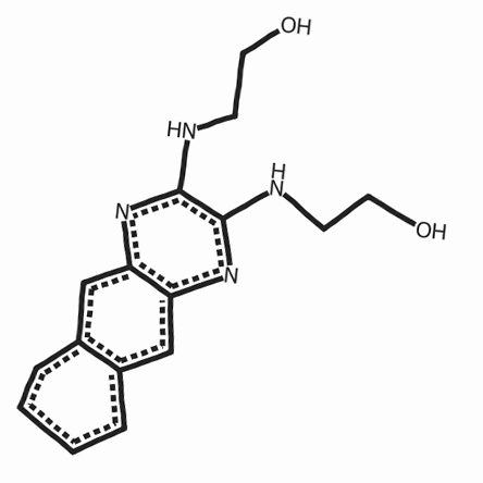 OCCNc1nc2cc3ccccc3cc2nc1NCCO